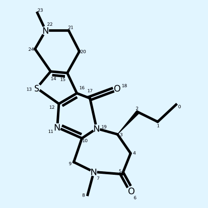 CCC[C@H]1CC(=O)N(C)Cc2nc3sc4c(c3c(=O)n21)CCN(C)C4